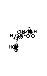 CCCCc1nc(Cl)c(C(=O)OC(C)OC(=O)CCCO/N=[N+](\O)N2CCCC2)n1Cc1ccc(-c2ccccc2-c2nnn[nH]2)cc1